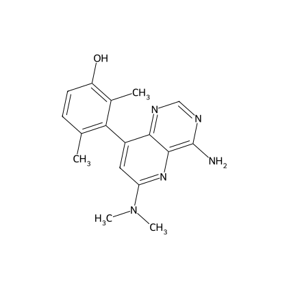 Cc1ccc(O)c(C)c1-c1cc(N(C)C)nc2c(N)ncnc12